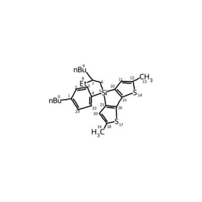 CCCCc1ccc([Si]2(CC(CC)CCCC)c3cc(C)sc3-c3sc(C)cc32)cc1